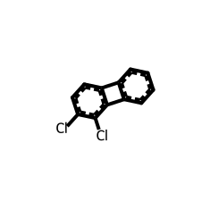 Clc1ccc2c(c1Cl)-c1ccccc1-2